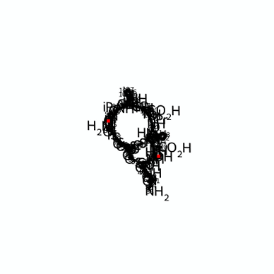 CC(C)[C@@H]1NC(=O)[C@H](Cc2c[nH]c3ccccc23)NC(=O)[C@@H]2CSCCS(=O)(=O)c3cc(cc(c3)S(=O)(=O)CCSC[C@H](NC(=O)[C@H](C)NC(=O)CN(C)C(=O)CCN)C(=O)N[C@@H]([C@@H](C)O)C(=O)N[C@@H](CCC(=O)O)C(=O)N2)S(=O)(=O)CCSC[C@@H](C(N)=O)NC(=O)[C@@H]2CCCN2C(=O)[C@H](C(C)C)NC(=O)[C@H](Cc2c[nH]c3ccccc23)NC(=O)CNC(=O)[C@H](CC(=O)O)NC1=O